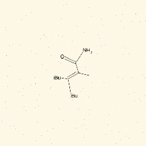 CCC(C)C(=C(C)C(N)=O)C(C)CC